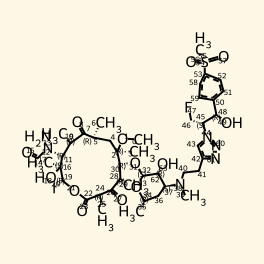 CO[C@]1(C)C[C@@H](C)C(=O)[C@H](C)[C@@H](N(N)C=O)[C@](C)(O)[C@@H](I)OC(=O)[C@H](C)C(=O)[C@H](C)[C@H]1O[C@@H]1O[C@H](C)C[C@H](N(C)CCc2cn([C@H](CF)[C@H](O)c3ccc(S(C)(=O)=O)cc3)nn2)[C@H]1O